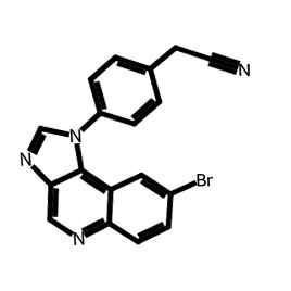 N#CCc1ccc(-n2cnc3cnc4ccc(Br)cc4c32)cc1